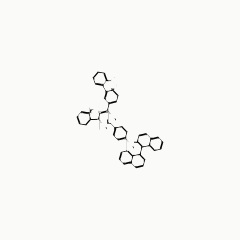 c1ccc2c3c(ccc2c1)N(c1ccc(-c2nc(-c4ccc5sc6ccccc6c5c4)c4oc5ccccc5c4n2)cc1)c1cccc2cccc-3c12